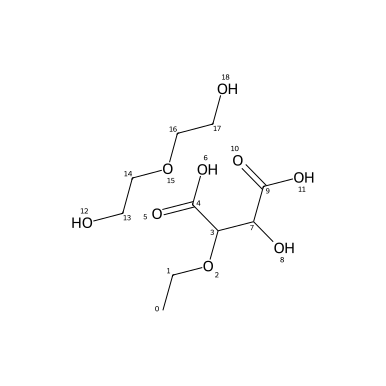 CCOC(C(=O)O)C(O)C(=O)O.OCCOCCO